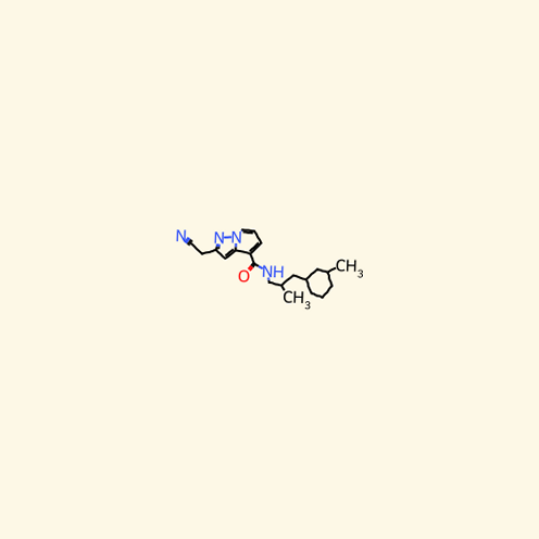 CC1CCCC(CC(C)CNC(=O)c2cccn3nc(CC#N)cc23)C1